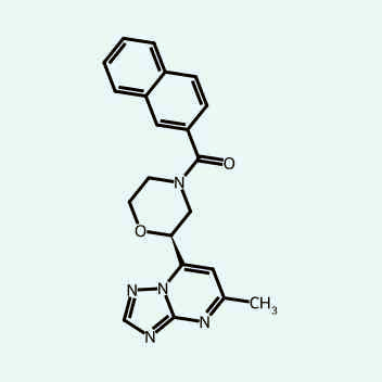 Cc1cc([C@@H]2CN(C(=O)c3ccc4ccccc4c3)CCO2)n2ncnc2n1